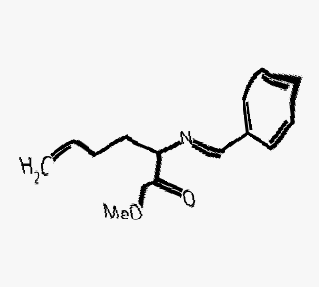 C=CCCC(N=Cc1ccccc1)C(=O)OC